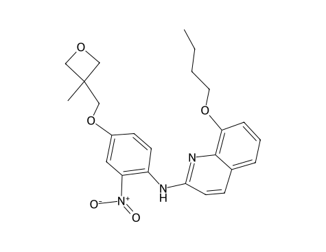 CCCCOc1cccc2ccc(Nc3ccc(OCC4(C)COC4)cc3[N+](=O)[O-])nc12